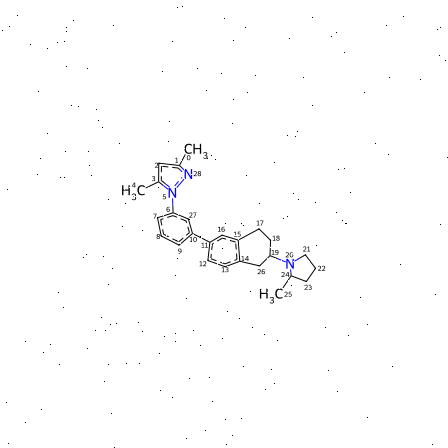 Cc1cc(C)n(-c2cccc(-c3ccc4c(c3)CCC(N3CCCC3C)C4)c2)n1